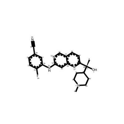 CN1CCC([C@@](C)(O)c2ccc3cnc(Nc4cc(C#N)ccc4F)cc3n2)CC1